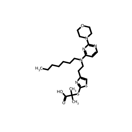 CCCCCCCN(CCc1csc(SC(C)(C)C(=O)O)n1)c1ccnc(N2CCOCC2)n1